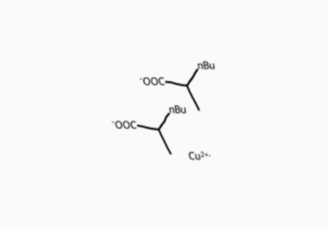 CCCCC(C)C(=O)[O-].CCCCC(C)C(=O)[O-].[Cu+2]